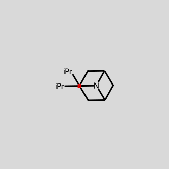 CC(C)CN1C2CC(C(C)C)CC1C2